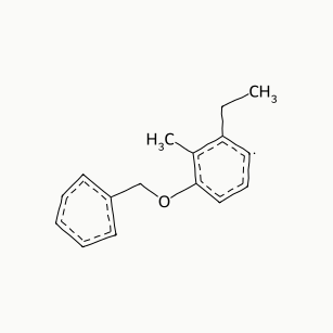 CCc1[c]ccc(OCc2ccccc2)c1C